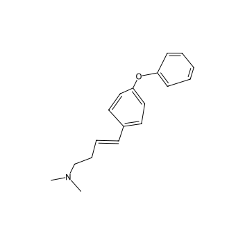 CN(C)CCC=Cc1ccc(Oc2ccccc2)cc1